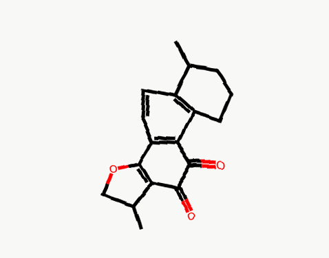 CC1COC2=C1C(=O)C(=O)c1c2ccc2c1CCCC2C